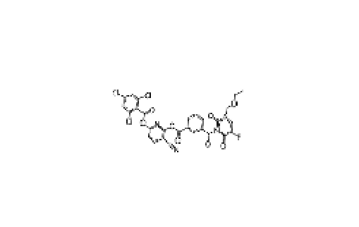 CCOCn1cc(F)c(=O)n(C(=O)c2cccc(C(=O)Oc3nc(OC(=O)c4c(Cl)cc(Cl)cc4Cl)ccc3C#N)c2)c1=O